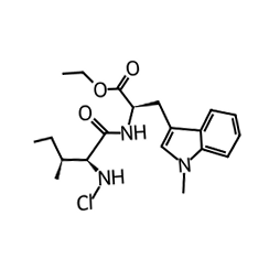 CCOC(=O)[C@@H](Cc1cn(C)c2ccccc12)NC(=O)[C@@H](NCl)[C@@H](C)CC